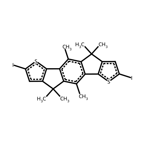 Cc1c2c(c(C)c3c1C(C)(C)c1cc(I)sc1-3)C(C)(C)c1cc(I)sc1-2